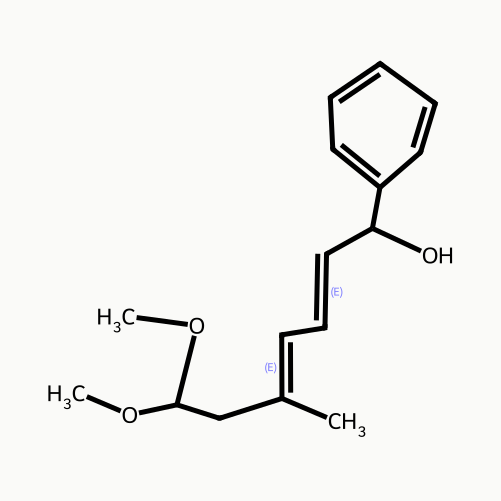 COC(C/C(C)=C/C=C/C(O)c1ccccc1)OC